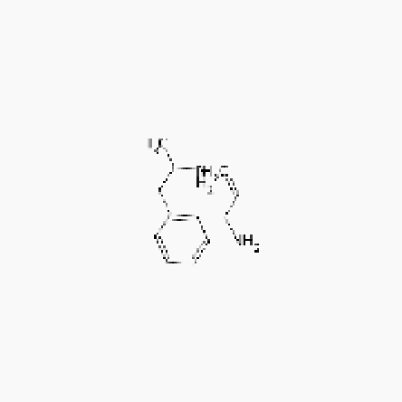 C=CCN.CC(N)Cc1ccccc1